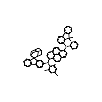 Cc1cc(C)c(N(c2ccc3c(c2)C2(c4ccccc4-3)C3CC4CC(C3)CC2C4)c2ccc3ccc4c(N(c5ccccc5)c5cccc6c5C(C)(C)c5ccccc5-6)ccc5ccc2c3c54)c(C)c1